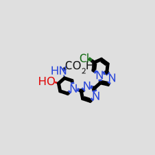 O=C(O)N[C@@H]1CN(c2ccnc(-c3cnc4ccc(Cl)cn34)n2)CC[C@H]1O